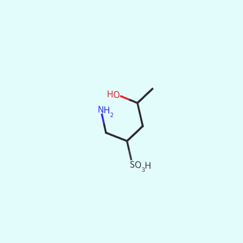 CC(O)CC(CN)S(=O)(=O)O